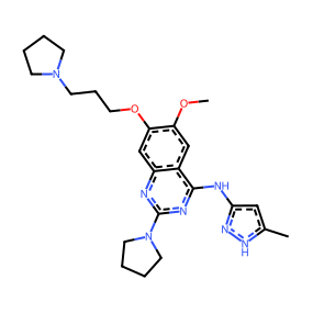 COc1cc2c(Nc3cc(C)[nH]n3)nc(N3CCCC3)nc2cc1OCCCN1CCCC1